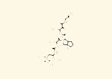 C=CCNC(=O)C(=O)C(C)NC(=O)[C@@H]1[C@H]2CCC[C@H]2CN1C(=O)[C@@H](NC(=O)N[C@H](CN(C)S(C)(=O)=O)C(C)(C)C)C(C)(C)C